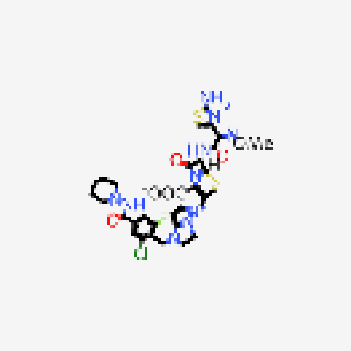 CO/N=C(\C(=O)N[C@@H]1C(=O)N2C(C(=O)[O-])=C(C[n+]3ccc4n3CCN4Cc3c(F)cc(C(=O)NN4CCCCC4)cc3Cl)CS[C@H]12)c1csc(N)n1